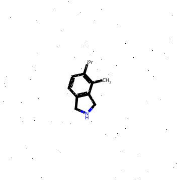 Cc1c(C(C)C)ccc2c1CNC2